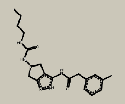 CCCCNC(=O)NN1Cc2n[nH]c(NC(=O)Cc3cccc(C)c3)c2C1